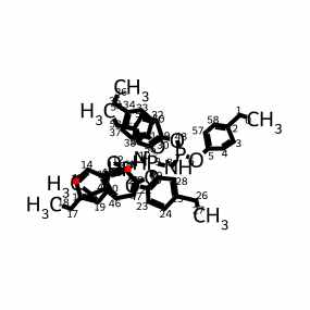 CCc1ccc(OP(N[PH](N=[PH](Oc2ccc(CC)cc2)Oc2ccc(CC)cc2)(Oc2ccc(CC)cc2)Oc2ccc(CC)cc2)Oc2ccc(CC)cc2)cc1